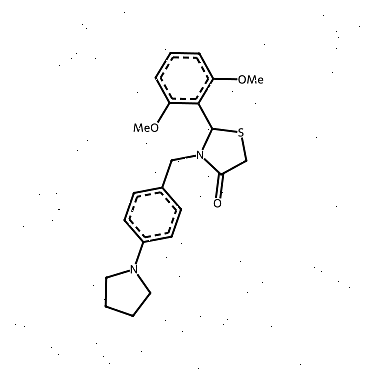 COc1cccc(OC)c1C1SCC(=O)N1Cc1ccc(N2CCCC2)cc1